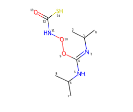 CC(C)/N=C(/NC(C)C)OONC(=O)S